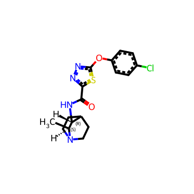 C[C@H]1[C@H](NC(=O)c2nnc(Oc3ccc(Cl)cc3)s2)C2CCN1CC2